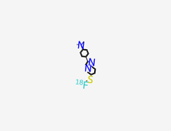 CN(C)c1ccc(-c2cn3cc(SC[18F])ccc3n2)cc1